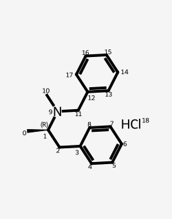 C[C@H](Cc1ccccc1)N(C)Cc1ccccc1.Cl